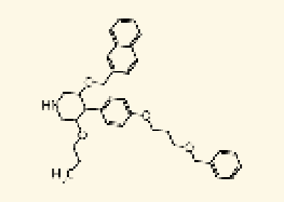 CCCOC1CNCC(OCc2ccc3ccccc3c2)C1c1ccc(OCCCOCc2ccccc2)cc1